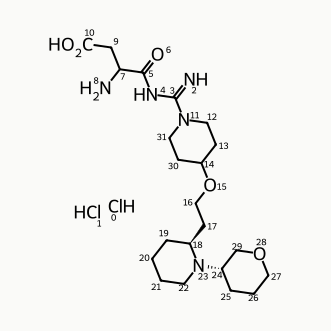 Cl.Cl.N=C(NC(=O)C(N)CC(=O)O)N1CCC(OCC[C@@H]2CCCCN2[C@H]2CCCOC2)CC1